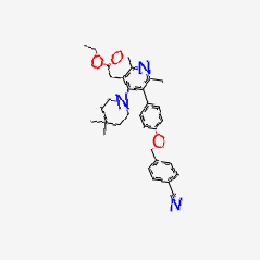 CCOC(=O)Cc1c(C)nc(C)c(-c2ccc(OCc3ccc(C#N)cc3)cc2)c1N1CCC(C)(C)CC1